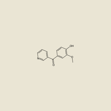 COc1cc(C(=O)c2cccnc2)ccc1O